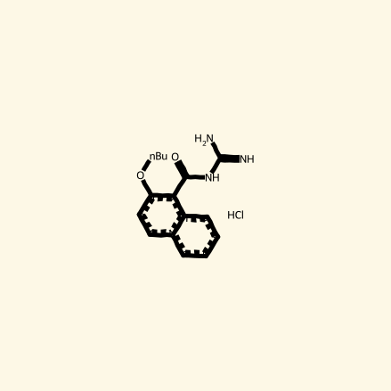 CCCCOc1ccc2ccccc2c1C(=O)NC(=N)N.Cl